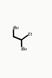 [CH2]CC(C)C(CC)CC(C)CC